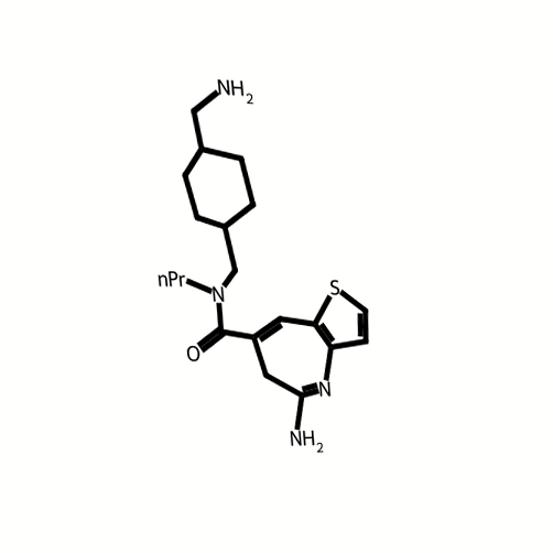 CCCN(CC1CCC(CN)CC1)C(=O)C1=Cc2sccc2N=C(N)C1